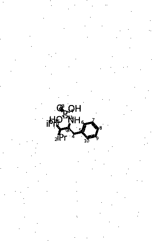 CC(C)C(C(C)C)[C@H](Cc1ccccc1)NP(=O)(O)O